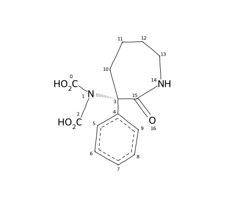 O=C(O)N(C(=O)O)[C@]1(c2ccccc2)CCCCNC1=O